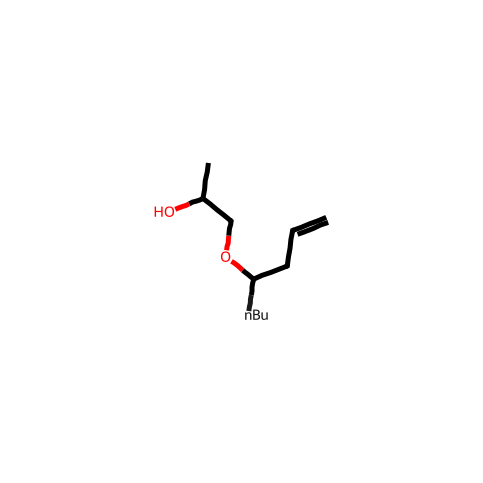 C=CCC(CCCC)OCC(C)O